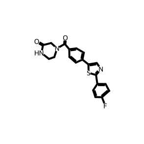 O=C1CN(C(=O)c2ccc(-c3cnc(-c4ccc(F)cc4)s3)cc2)CCN1